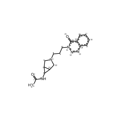 CC(=O)NC1C2CN(CCCn3nnc4ccccc4c3=O)CC21